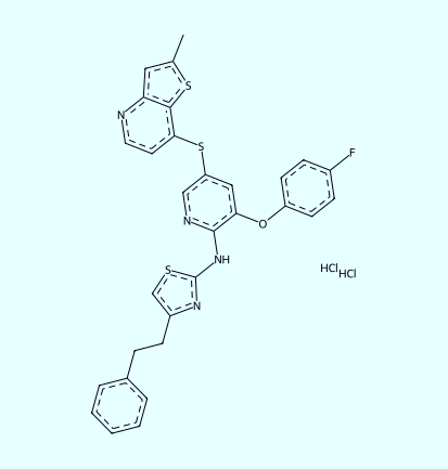 Cc1cc2nccc(Sc3cnc(Nc4nc(CCc5ccccc5)cs4)c(Oc4ccc(F)cc4)c3)c2s1.Cl.Cl